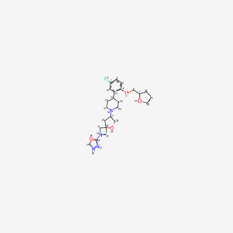 Fc1ccc(OCC2CCCO2)c(C2CCN(C3COC4(C3)CN(c3nnco3)C4)CC2)c1